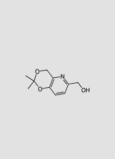 CC1(C)OCc2nc(CO)ccc2O1